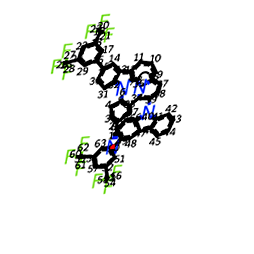 N#Cc1ccc(-n2c3ccccc3c3cc(-c4cc(C(F)(F)F)cc(C(F)(F)F)c4)ccc32)c(-c2ncccc2-n2c3ccccc3c3cc(-c4cc(C(F)(F)F)cc(C(F)(F)F)c4)ccc32)c1